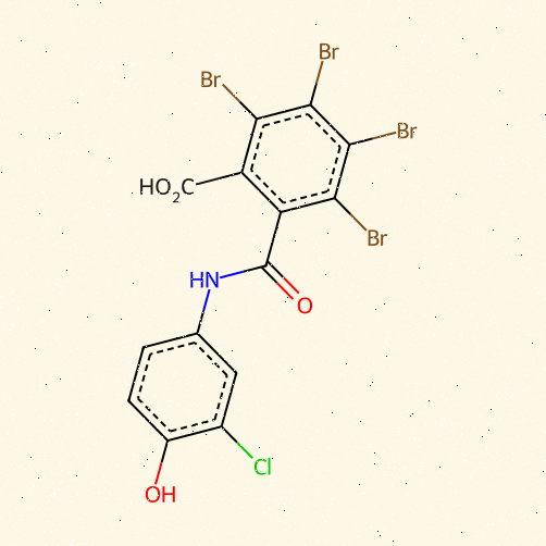 O=C(O)c1c(Br)c(Br)c(Br)c(Br)c1C(=O)Nc1ccc(O)c(Cl)c1